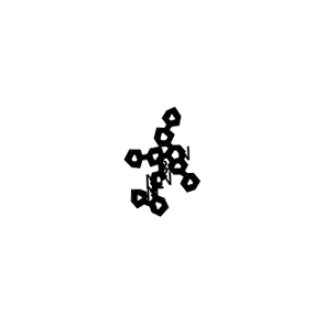 c1ccc(-c2cccc(-c3cnc4cc(-c5ccccc5)cc5c4c3-c3ccc(-c4ccccc4)cc3B5c3cnc(-n4c5ccccc5c5ccccc54)cn3)c2)cc1